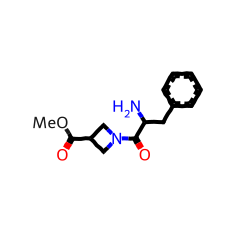 COC(=O)C1CN(C(=O)C(N)Cc2ccccc2)C1